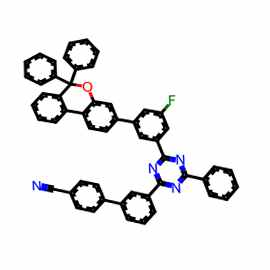 N#Cc1ccc(-c2cccc(-c3nc(-c4ccccc4)nc(-c4cc(F)cc(-c5ccc6c(c5)OC(c5ccccc5)(c5ccccc5)c5ccccc5-6)c4)n3)c2)cc1